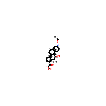 C[C@]12CC/C(=N/OCC(=O)O)C=C1CC[C@@H]1[C@@H]2[C@@H](O)C[C@]2(C=O)[C@@H](C(=O)CO)CC[C@@H]12